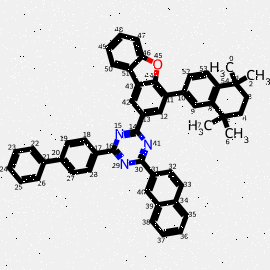 CC1(C)CCC(C)(C)c2cc(-c3cc(-c4nc(-c5ccc(-c6ccccc6)cc5)nc(-c5ccc6ccccc6c5)n4)cc4c3oc3ccccc34)ccc21